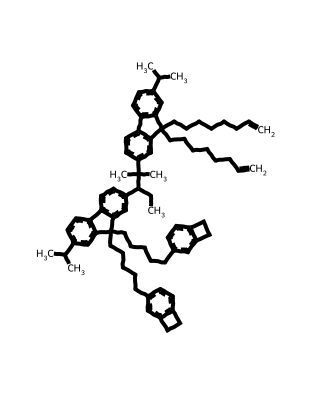 C=CCCCCCCC1(CCCCCCC=C)c2cc(C(C)C)ccc2-c2ccc(C(C)(C)C(CC)c3ccc4c(c3)C(CCCCCc3ccc5c(c3)CC5)(CCCCCc3ccc5c(c3)CC5)c3cc(C(C)C)ccc3-4)cc21